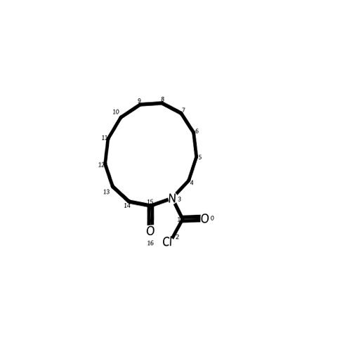 O=C(Cl)N1CCCCCCCCCCCC1=O